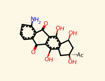 CC(=O)[C@]1(O)Cc2c(O)c3c(c(O)c2[C@@H](O)C1)C(=O)c1c(N)cccc1C3=O